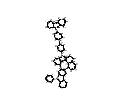 c1ccc(-n2c3ccccc3c3cc4c(cc32)-c2cccc3c2c2c5c-4cccc5ccc2n3-c2ccc(-c3ccc(-n4c5ccccc5c5ccccc54)cc3)cc2)cc1